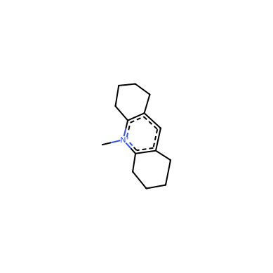 C[n+]1c2c(cc3c1CCCC3)CCCC2